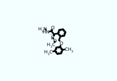 CO/N=C(/C(=O)NN)c1ccccc1COc1cc(C)ccc1C